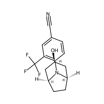 N#Cc1ccc(N2[C@@H]3CC[C@H]2C[C@@H](O)C3)c(C(F)(F)F)c1